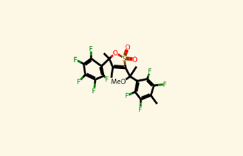 COC(C)(C1=C(C)C(C)(c2c(F)c(F)c(F)c(F)c2F)OS1(=O)=O)c1c(F)c(F)c(C)c(F)c1F